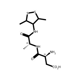 CC1SSC(C)C1NC(=O)[C@@H](C)NC(=O)[C@@H](N)CC(=O)O